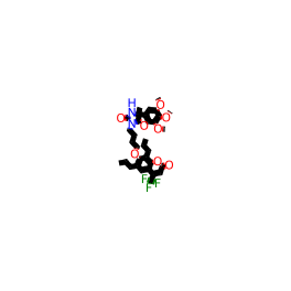 CCCc1cc2c(C(F)(F)F)cc(=O)oc2c(CCC)c1OCCCCN1C(=O)NC(C)(c2cc(OC)c(OC)c(OC)c2)C1=O